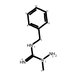 CN(N)C(=N)NCc1ccccc1